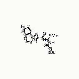 CS/C(=N\C(=O)c1cn2c(n1)-c1ccc(F)cc1OCC2)NC(=O)OC(C)(C)C